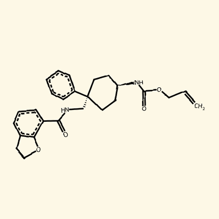 C=CCOC(=O)N[C@H]1CC[C@@](CNC(=O)c2cccc3c2OCC3)(c2ccccc2)CC1